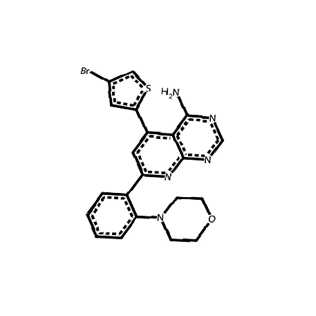 Nc1ncnc2nc(-c3ccccc3N3CCOCC3)cc(-c3cc(Br)cs3)c12